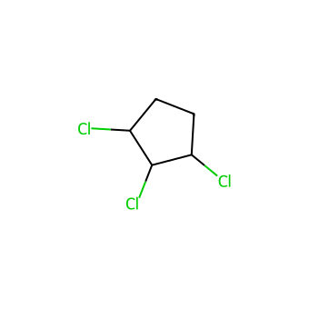 ClC1CCC(Cl)C1Cl